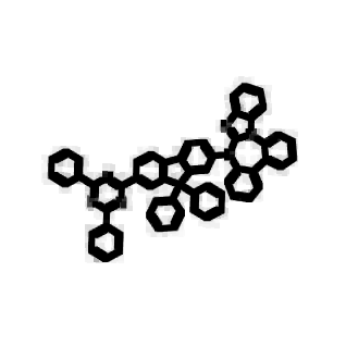 c1ccc(-c2nc(-c3ccccc3)nc(-c3ccc4c(c3)C(c3ccccc3)(c3ccccc3)c3cc(N5c6ccccc6-c6ccccc6-n6c5nc5ccccc56)ccc3-4)n2)cc1